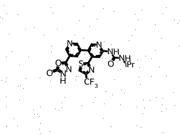 CC(C)NC(=O)Nc1cc(-c2nc(C(F)(F)F)cs2)c(-c2cncc(-c3n[nH]c(=O)o3)c2)cn1